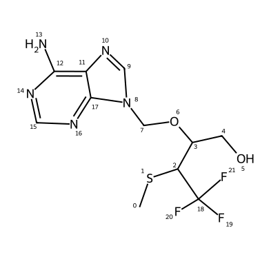 CSC(C(CO)OCn1cnc2c(N)ncnc21)C(F)(F)F